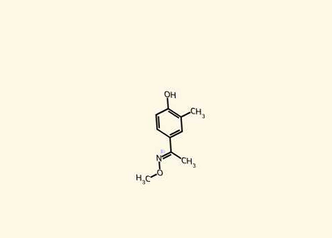 CO/N=C(\C)c1ccc(O)c(C)c1